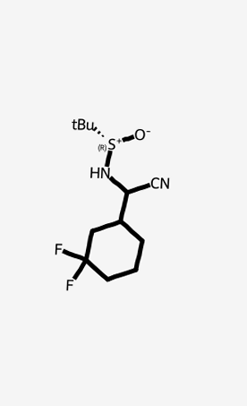 CC(C)(C)[S@+]([O-])NC(C#N)C1CCCC(F)(F)C1